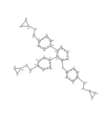 c1cc(Cc2ccc(OCC3CO3)cc2)c(-c2ccc(OCC3CO3)cc2)c(-c2ccc(OCC3CO3)cc2)c1